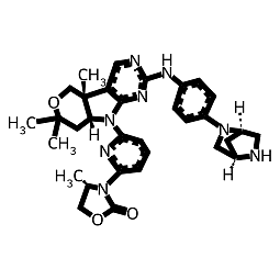 C[C@H]1COC(=O)N1c1cccc(N2c3nc(Nc4ccc(N5C[C@H]6C[C@@H]5CN6)cc4)ncc3[C@@]3(C)COC(C)(C)C[C@@H]23)n1